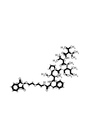 CC[C@H](C)[C@@H]([C@@H](CC(=O)N1CCC[C@H]1[C@H](OC)[C@@H](C)C(=O)N[C@@H](Cc1ccccc1)C(=O)NCCOCCON1C(=O)c2ccccc2C1=O)OC)N(C)C(=O)[C@@H](NC(=O)C(C(C)C)N(C)C)C(C)C